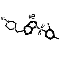 CCN1CCN(Cc2ccc3c(ccn3S(=O)(=O)c3ccc(F)cc3F)c2)CC1.Cl.Cl